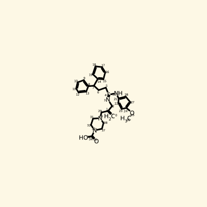 C=C(CN=S(CCC(c1ccccc1)c1ccccc1)Nc1ccc(OC)cc1)CN1CCN(C(=O)O)CC1